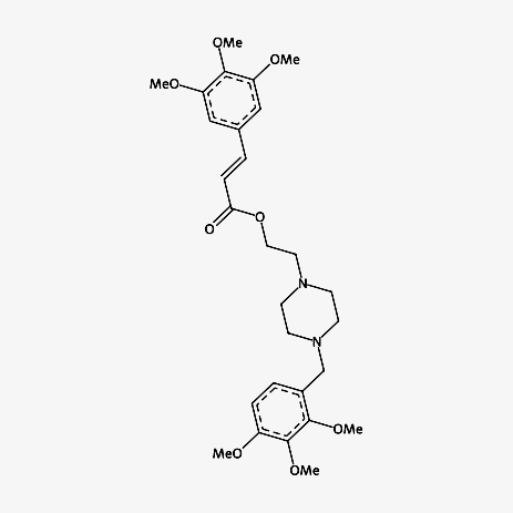 COc1cc(C=CC(=O)OCCN2CCN(Cc3ccc(OC)c(OC)c3OC)CC2)cc(OC)c1OC